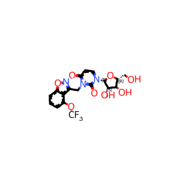 O=c1ccn([C@@H]2O[C@H](CO)C(O)[C@@H]2O)c(=O)n1Cc1noc2cccc(OC(F)(F)F)c12